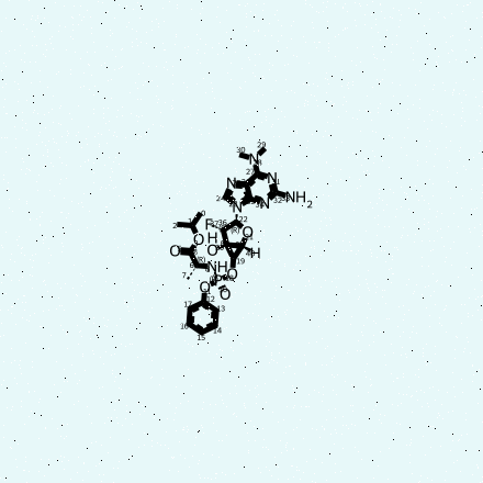 CC(C)OC(=O)[C@@H](C)N[P@](=O)(Oc1ccccc1)OC1[C@H]2O[C@@H](n3cnc4c(N(C)C)nc(N)nc43)[C@@H](F)[C@@]12O